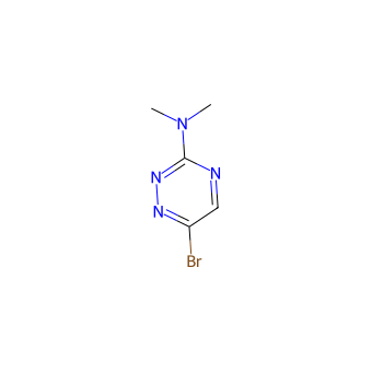 CN(C)c1ncc(Br)nn1